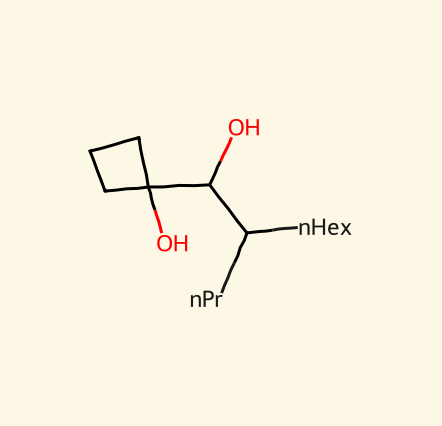 CCCCCCC(CCC)C(O)C1(O)CCC1